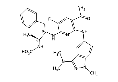 C[C@H](NC(=O)O)[C@H](Cc1ccccc1)Nc1nc(Nc2ccc3c(c2)c(N(C)C)nn3C)c(C(N)=O)cc1F